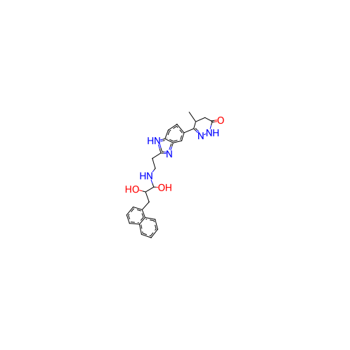 CC1CC(=O)NN=C1c1ccc2[nH]c(CCNC(O)C(O)Cc3cccc4ccccc34)nc2c1